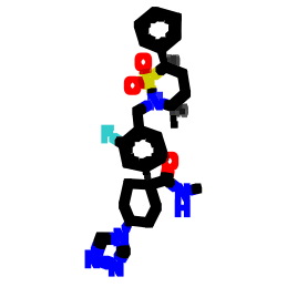 CNC(=O)[C@]1(c2ccc(CN3[C@@H](C)CC[C@H](c4ccccc4)S3(=O)=O)c(F)c2)CC[C@H](n2cnnc2)CC1